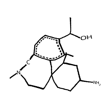 Cc1c(C(C)O)ccc2c1C1(CCC(N)CC1C)CCN(C)C2